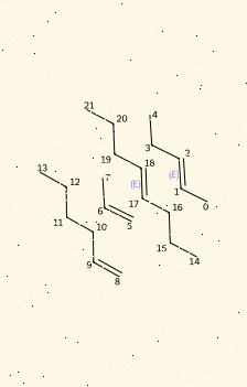 C/C=C/CC.C=CC.C=CCCCC.CCC/C=C/CCC